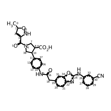 CC1C=C(C(=O)N2CC(C(=O)O)C(c3ccc(NC(=O)Cc4ccc5nc(Nc6cccc(C#N)c6)oc5c4)cc3)C2)NO1